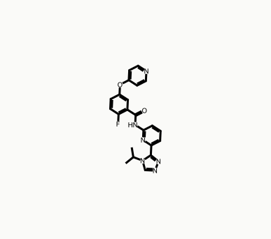 CC(C)n1cnnc1-c1cccc(NC(=O)c2cc(Oc3ccncc3)ccc2F)n1